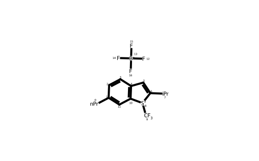 CCCc1ccc2cc(C(C)C)[s+](C(F)(F)F)c2c1.F[B-](F)(F)F